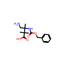 CC(CN)(NC(=O)OCc1ccccc1)C(C)(C)C(=O)O